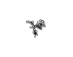 C#Cc1c(F)ccc2cccc(-c3ncc4c(N5CC6CCC(C5)N6C(=O)OC(C)(C)C)nc(OCC5(C(=O)Nc6ccc(S(=O)(=O)n7cnc(C8CC8)n7)cc6)CCN(C(=O)OC(C)(C)C)C5)nc4c3F)c12